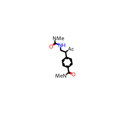 CNC(=O)NCC(C(C)=O)c1ccc(C(=O)NC)cc1